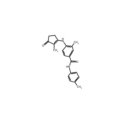 CC1=C(Nc2ccc(C(=O)Nc3ccc(C)cc3)cc2C)CCC1=O